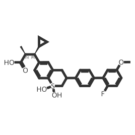 COc1ccc(F)c(-c2ccc(C3Cc4cc([C@H](C5CC5)[C@H](C)C(=O)O)ccc4S(O)(O)C3)cc2)c1